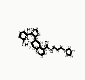 Cc1cccc(-c2[nH]cnc2-c2ccc3nccc(C(=O)OCCCN4CCCC4)c3c2)n1